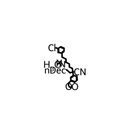 CCCCCCCCCCCCC(C#N)(CCCC(CCc1cccc(Cl)c1)N=NC)c1ccc2c(c1)COCO2